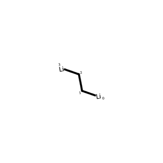 [Li][CH2][CH2][Li]